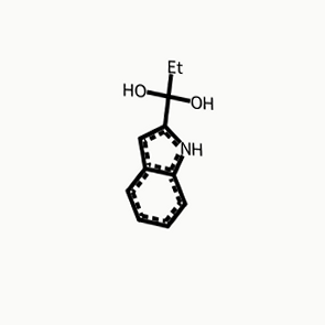 CCC(O)(O)c1cc2ccccc2[nH]1